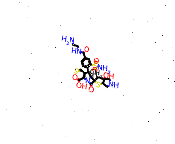 C[C@@]1(c2ccc(C(=O)NCCN)cc2S(N)(=O)=O)C(C=S)=C(C(=O)O)N2C(=O)C(CCO)(SC3CCNC3)[C@@H]21